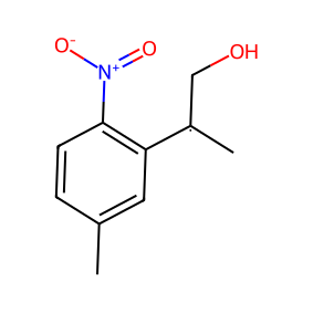 C[C](CO)c1cc(C)ccc1[N+](=O)[O-]